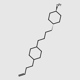 C=CCCC1CCC(CCCC[C@H]2CC[C@H](CCC)CC2)CC1